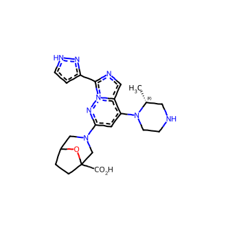 C[C@@H]1CNCCN1c1cc(N2CC3CCC(C(=O)O)(C2)O3)nn2c(-c3cc[nH]n3)ncc12